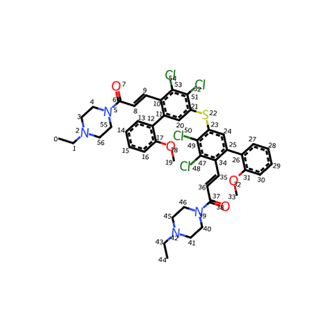 CCN1CCN(C(=O)/C=C/c2c(-c3ccccc3OC)cc(Sc3cc(-c4ccccc4OC)c(/C=C/C(=O)N4CCN(CC)CC4)c(Cl)c3Cl)c(Cl)c2Cl)CC1